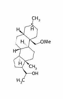 COC[C@]12CC[SH](C)C[C@H]1CC[C@H]1[C@@H]3CC[C@H](C(C)O)[C@@]3(C)CC[C@@H]12